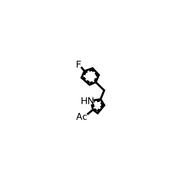 CC(=O)c1ccc(Cc2ccc(F)cc2)[nH]1